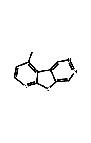 Cc1ccnc2sc3cnncc3c12